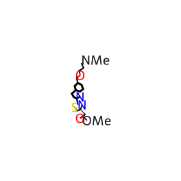 CNCCCOCc1ccc2nc(C3=N[C@@H](CC(=O)OC)CS3)ccc2c1